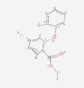 CCOC(=O)c1ccc(F)cc1Oc1ccccc1Br